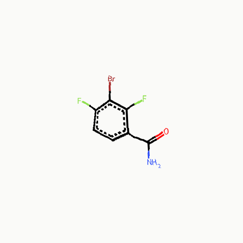 NC(=O)c1ccc(F)c(Br)c1F